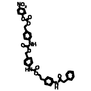 O=C(Cc1ccccc1)Nc1ccc(CCOC(=O)Nc2ccc(COC(=O)Nc3ccc(COC(=O)Oc4ccc([N+](=O)[O-])cc4)cc3)cc2)cc1